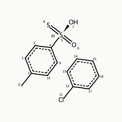 Cc1ccc([S@](=O)(O)=S)cc1.Clc1ccccc1